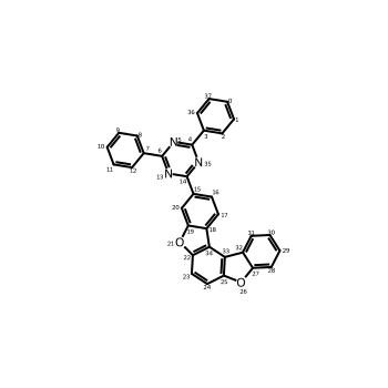 c1ccc(-c2nc(-c3ccccc3)nc(-c3ccc4c(c3)oc3ccc5oc6ccccc6c5c34)n2)cc1